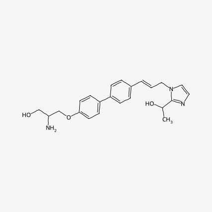 CC(O)c1nccn1C/C=C/c1ccc(-c2ccc(OCC(N)CO)cc2)cc1